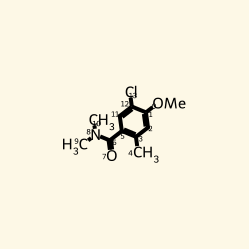 COc1cc(C)c(C(=O)N(C)C)cc1Cl